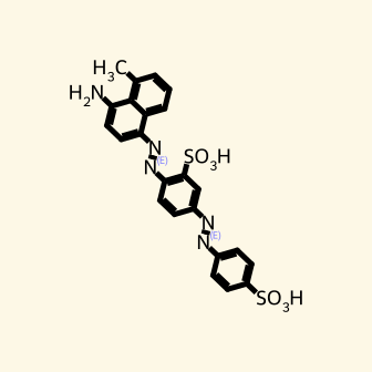 Cc1cccc2c(/N=N/c3ccc(/N=N/c4ccc(S(=O)(=O)O)cc4)cc3S(=O)(=O)O)ccc(N)c12